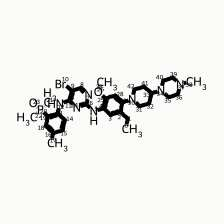 CCc1cc(Nc2ncc(Br)c(Nc3ccc(C)cc3P(C)(C)=O)n2)c(OC)cc1N1CCC(N2CCN(C)CC2)CC1